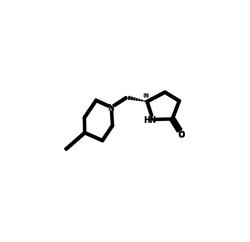 CC1CCN(C[C@@H]2CCC(=O)N2)CC1